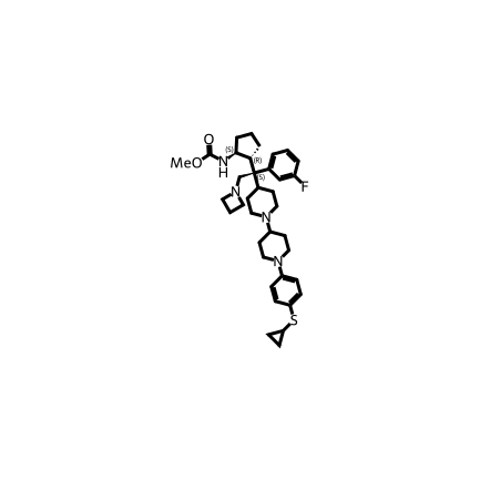 COC(=O)N[C@H]1CCC[C@@H]1[C@](CN1CCC1)(c1cccc(F)c1)C1CCN(C2CCN(c3ccc(SC4CC4)cc3)CC2)CC1